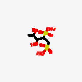 [CH2]C(O)C(O)C(CS(=O)(=O)O)S(=O)(=O)O